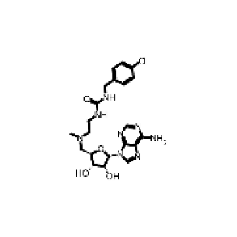 CN(CCNC(=O)NCc1ccc(Cl)cc1)C[C@H]1O[C@@H](n2cnc3c(N)ncnc32)[C@H](O)[C@@H]1O